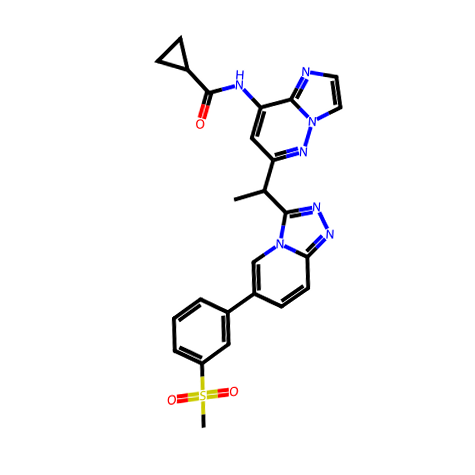 CC(c1cc(NC(=O)C2CC2)c2nccn2n1)c1nnc2ccc(-c3cccc(S(C)(=O)=O)c3)cn12